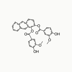 COc1cc(C(=O)Oc2ccc3cc4ccccc4cc3c2OC(=O)c2ccc(O)c(OC)c2)ccc1O